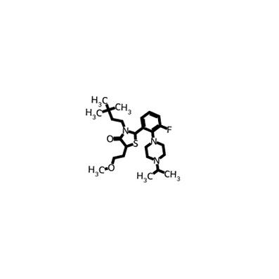 COCCC1SC(c2cccc(F)c2N2CCN(C(C)C)CC2)N(CCC(C)(C)C)C1=O